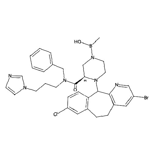 CB(O)N1CCN(C2c3ccc(Cl)cc3CCc3cc(Br)cnc32)[C@@H](C(=O)N(CCCn2ccnc2)Cc2ccccc2)C1